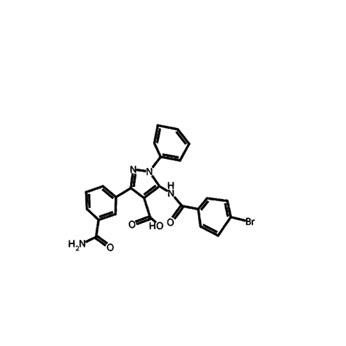 NC(=O)c1cccc(-c2nn(-c3ccccc3)c(NC(=O)c3ccc(Br)cc3)c2C(=O)O)c1